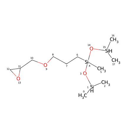 C[SiH](C)O[Si](C)(CCCOCC1CO1)O[SiH](C)C